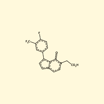 O=C(O)Cn1ccn2ccc(-c3ccc(F)c(C(F)(F)F)c3)c2c1=O